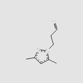 Cc1cc(C)n(CCC=O)n1